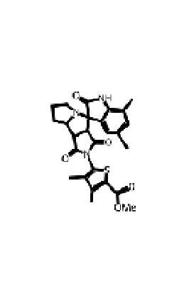 COC(=O)c1sc(N2C(=O)C3C4CCCN4C4(C(=O)Nc5c(C)cc(C)cc54)C3C2=O)c(C)c1C